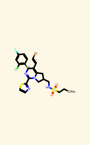 COCCS(=O)(=O)NCC1CC2=C(/C=C/Br)[C@H](c3ccc(F)cc3Cl)N=C(c3nccs3)N2C1